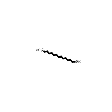 CCCCCCCCCCCCCCCC=CCCCCCCC(=O)O